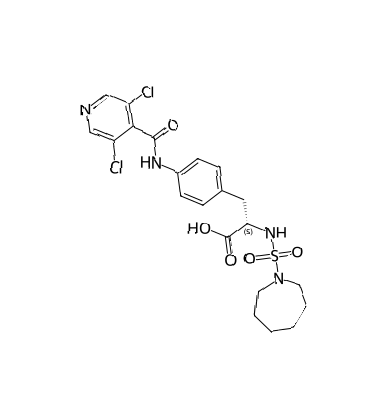 O=C(Nc1ccc(C[C@H](NS(=O)(=O)N2CCCCCC2)C(=O)O)cc1)c1c(Cl)cncc1Cl